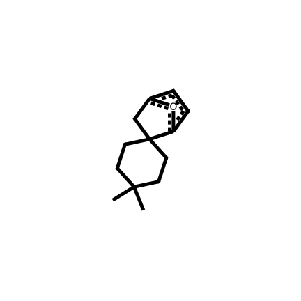 CC1(C)CCC2(CC1)Cc1ccc2o1